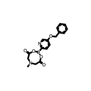 CN1CC(=O)OB(c2ccc(OCc3ccccc3)cn2)OC(=O)C1